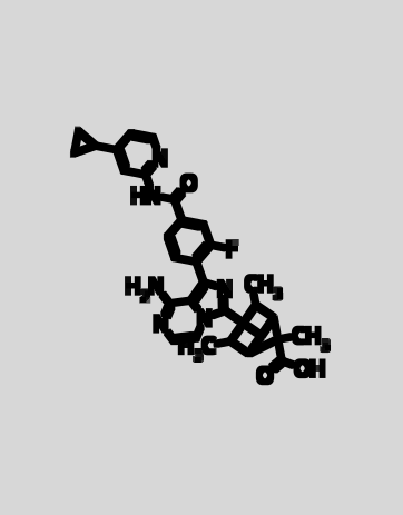 CC1C2C3C(C(C)C13c1nc(-c3ccc(C(=O)Nc4cc(C5CC5)ccn4)cc3F)c3c(N)nccn13)C2(C)C(=O)O